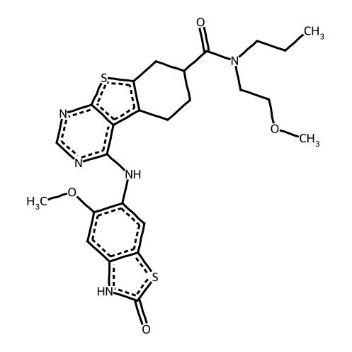 CCCN(CCOC)C(=O)C1CCc2c(sc3ncnc(Nc4cc5sc(=O)[nH]c5cc4OC)c23)C1